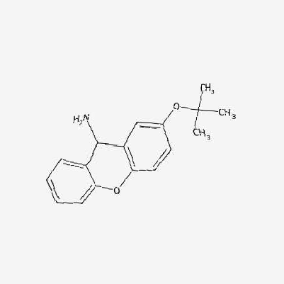 CC(C)(C)Oc1ccc2c(c1)C(N)c1ccccc1O2